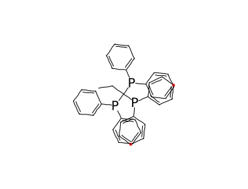 CCC(P(c1ccccc1)c1ccccc1)(P(c1ccccc1)c1ccccc1)P(c1ccccc1)c1ccccc1